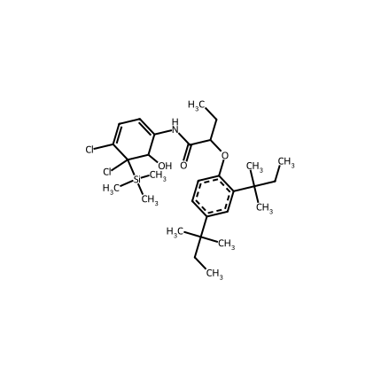 CCC(Oc1ccc(C(C)(C)CC)cc1C(C)(C)CC)C(=O)NC1=CC=C(Cl)C(Cl)([Si](C)(C)C)C1O